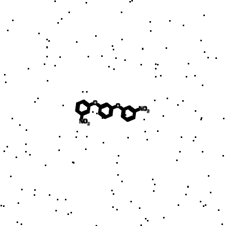 O=[N+]([O-])c1cccc(Oc2cccc(Oc3cccc([N+](=O)[O-])c3)c2)c1